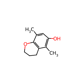 Cc1cc(O)c(C)c2c1OCCC2